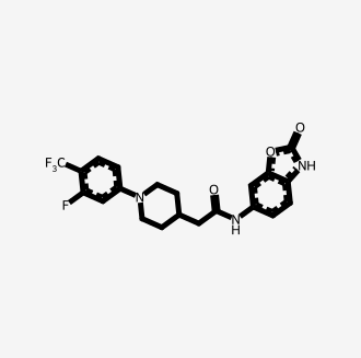 O=C(CC1CCN(c2ccc(C(F)(F)F)c(F)c2)CC1)Nc1ccc2[nH]c(=O)oc2c1